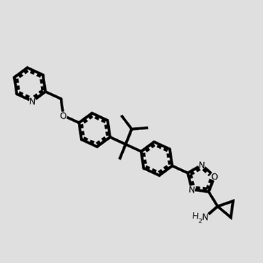 CC(C)C(C)(c1ccc(OCc2ccccn2)cc1)c1ccc(-c2noc(C3(N)CC3)n2)cc1